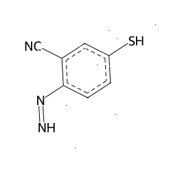 N#Cc1cc(S)ccc1N=N